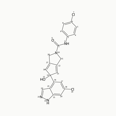 O=C(Nc1ccc(Cl)cc1)N1CC2=CC(O)(c3cc(Cl)cc4[nH]ncc34)C=C2C1